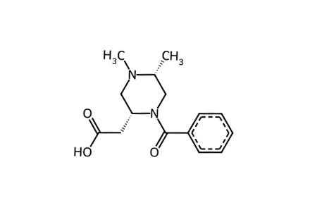 C[C@@H]1CN(C(=O)c2ccccc2)[C@H](CC(=O)O)CN1C